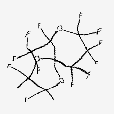 CC1(F)OC2(OC1(C)F)C(F)(F)C(F)(F)C(F)(F)OC2(F)C(F)(F)F